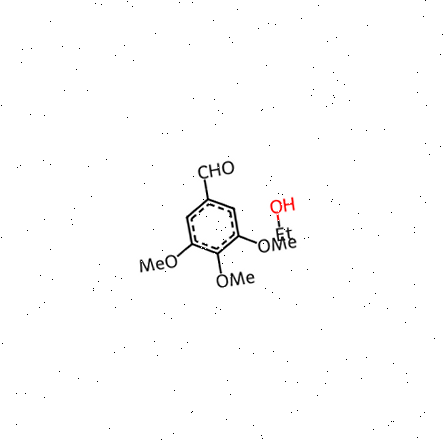 CCO.COc1cc(C=O)cc(OC)c1OC